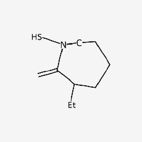 C=C1C(CC)CCCCN1S